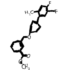 COC(=O)c1cccc(COc2ccc(-c3cc(F)c(F)cc3C)cc2)c1